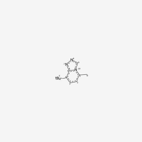 Cc1ccc(C(C)(C)C)c2nncn12